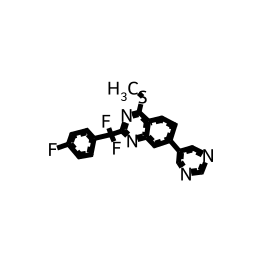 CSc1nc(C(F)(F)c2ccc(F)cc2)nc2cc(-c3cncnc3)ccc12